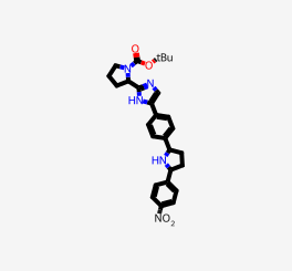 CC(C)(C)OC(=O)N1CCCC1c1ncc(-c2ccc(C3CCC(c4ccc([N+](=O)[O-])cc4)N3)cc2)[nH]1